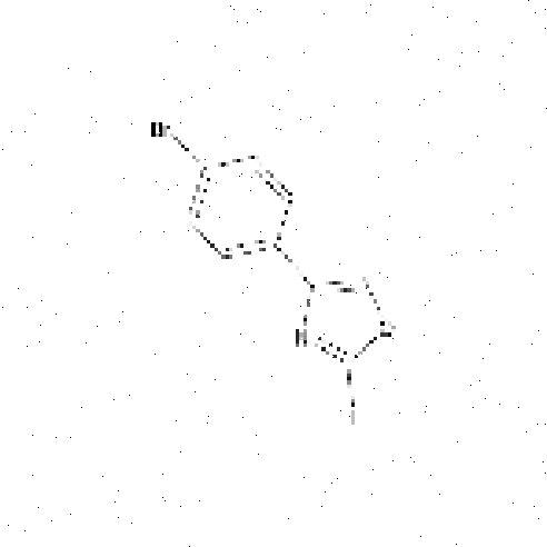 Brc1ccc(-c2coc(I)n2)cc1